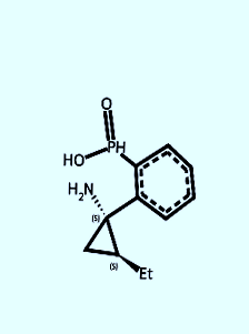 CC[C@H]1C[C@@]1(N)c1ccccc1[PH](=O)O